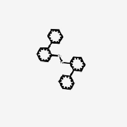 c1ccc(-c2ccccc2[Te][Te]c2ccccc2-c2ccccc2)cc1